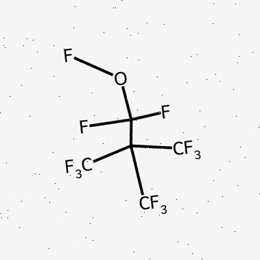 FOC(F)(F)C(C(F)(F)F)(C(F)(F)F)C(F)(F)F